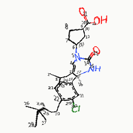 CC(C)C1=CN([C@H]2CC[C@@H](C(=O)O)C2)C(=O)N[C@@]1(C)c1ccc(CCC(C)(C)C)c(Cl)c1